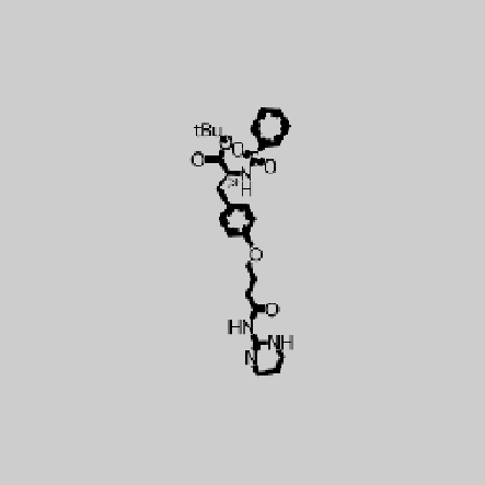 CC(C)(C)OC(=O)[C@H](Cc1ccc(OCCCC(=O)NC2=NCCCN2)cc1)NS(=O)(=O)c1ccccc1